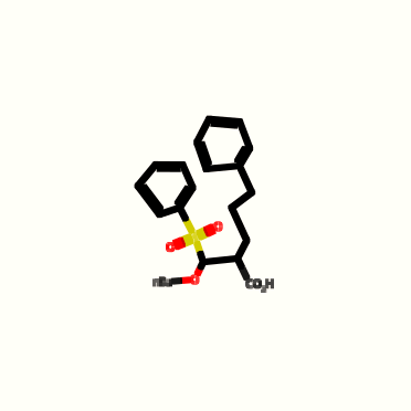 CCCCOC(C(CCCc1ccccc1)C(=O)O)S(=O)(=O)c1ccccc1